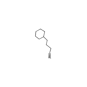 [C]#CCCCC1CCCCC1